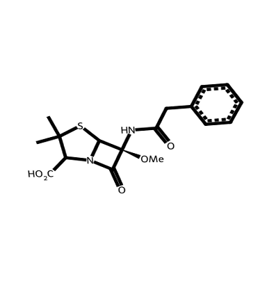 CO[C@@]1(NC(=O)Cc2ccccc2)C(=O)N2C(C(=O)O)C(C)(C)SC21